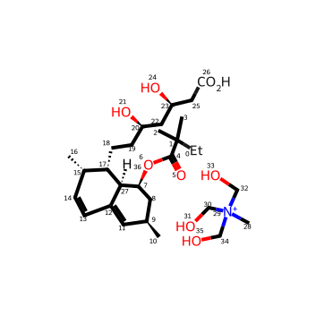 CCC(C)(C)C(=O)O[C@H]1C[C@@H](C)C=C2C=C[C@H](C)[C@H](CC[C@@H](O)C[C@@H](O)CC(=O)O)[C@H]21.C[N+](CO)(CO)CO